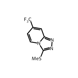 CSc1nnc2cc(C(F)(F)F)ccn12